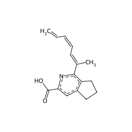 C=C/C=C\C=C(/C)c1nc(C(=O)O)cc2c1CCC2